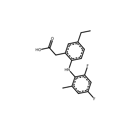 CCc1ccc(Nc2c(C)cc(F)cc2F)c(CC(=O)O)c1